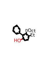 CCCCCCCCc1c(CC)ccc(O)c1-c1ccccc1